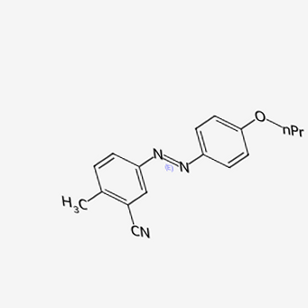 CCCOc1ccc(/N=N/c2ccc(C)c(C#N)c2)cc1